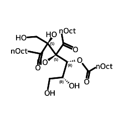 CCCCCCCCC(=O)O[C@H]([C@H](O)CO)[C@@](O)(C(=O)CCCCCCCC)[C@@](O)(CO)C(=O)CCCCCCCC